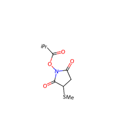 CSC1CC(=O)N(OC(=O)C(C)C)C1=O